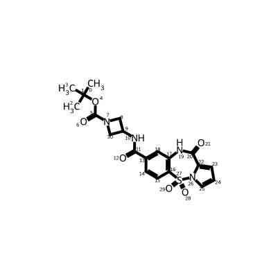 CC(C)(C)OC(=O)N1CC(NC(=O)c2ccc3c(c2)NC(=O)c2cccn2S3(=O)=O)C1